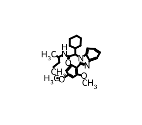 CCCC(C)NC(=O)C(C1CCCCC1)n1c(-c2ccc(OC)cc2OC)nc2ccccc21